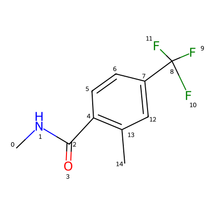 CNC(=O)c1ccc(C(F)(F)F)cc1C